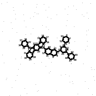 c1ccc(-c2cc(-c3ccc4ccc(-n5c6ccccc6c6cc7c(cc65)c5ccccc5n7-c5ccccc5)cc4c3)cc(-c3ccccc3)n2)cc1